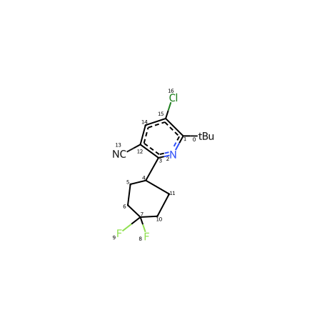 CC(C)(C)c1nc(C2CCC(F)(F)CC2)c(C#N)cc1Cl